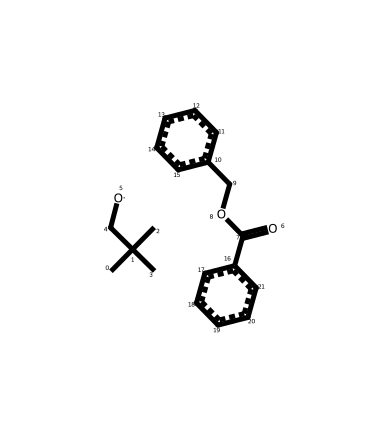 CC(C)(C)C[O].O=C(OCc1ccccc1)c1ccccc1